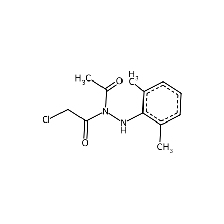 CC(=O)N(Nc1c(C)cccc1C)C(=O)CCl